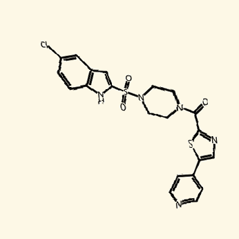 O=C(c1ncc(-c2ccncc2)s1)N1CCN(S(=O)(=O)c2cc3cc(Cl)ccc3[nH]2)CC1